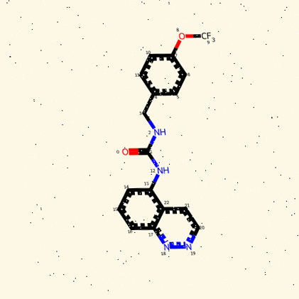 O=C(NCc1ccc(OC(F)(F)F)cc1)Nc1cccc2nnccc12